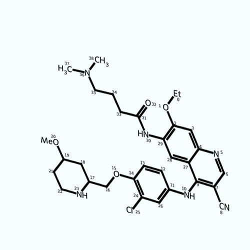 CCOc1cc2ncc(C#N)c(Nc3ccc(OCC4CC(OC)CCN4)c(Cl)c3)c2cc1NC(=O)CCCN(C)C